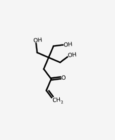 C=CC(=O)CC(CO)(CO)CO